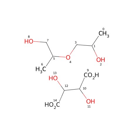 CC(O)COC(C)CO.O=C(O)C(O)C(O)C(=O)O